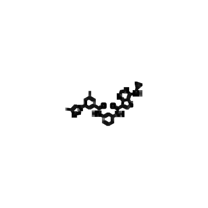 Cc1cc(C(=O)Nc2cccc(NC(=O)c3csc4c(NC5CC5)ncnc34)c2)cc(-n2cnc(C)c2)c1